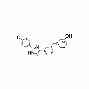 COc1ccc(-c2nc(-c3cccc(CN4CCC[C@H](O)C4)c3)n[nH]2)cc1